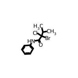 CC(C)C(Cl)(Br)C(=O)Nc1ccccc1